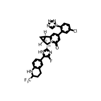 O=c1cc(-c2cc(Cl)ccc2-n2cnnn2)cc2n1[C@H](c1nc(F)c(-c3ccc4c(c3)CCC(C(F)(F)F)N4)[nH]1)[C@H]1C[C@@H]21